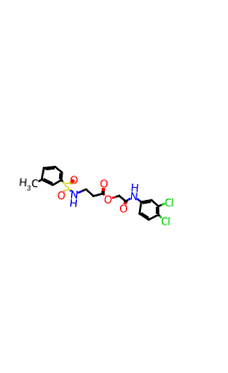 Cc1cccc(S(=O)(=O)NCCC(=O)OCC(=O)Nc2ccc(Cl)c(Cl)c2)c1